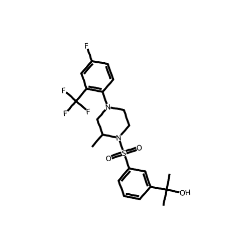 CC1CN(c2ccc(F)cc2C(F)(F)F)CCN1S(=O)(=O)c1cccc(C(C)(C)O)c1